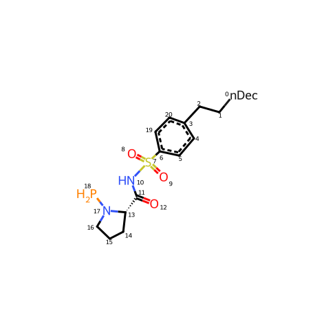 CCCCCCCCCCCCc1ccc(S(=O)(=O)NC(=O)[C@@H]2CCCN2P)cc1